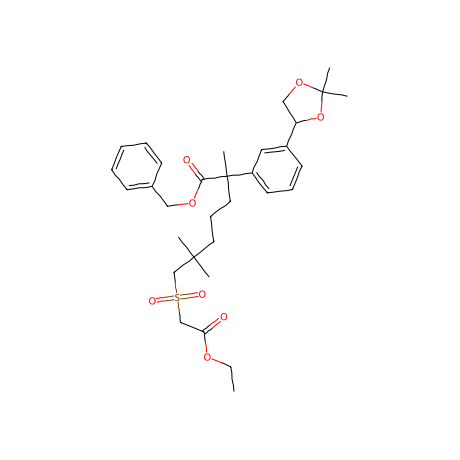 CCOC(=O)CS(=O)(=O)CC(C)(C)CCCC(C)(C(=O)OCc1ccccc1)c1cccc(C2COC(C)(C)O2)c1